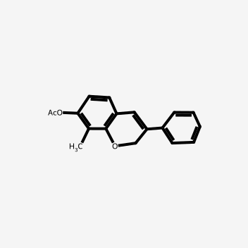 CC(=O)Oc1ccc2c(c1C)OCC(c1ccccc1)=C2